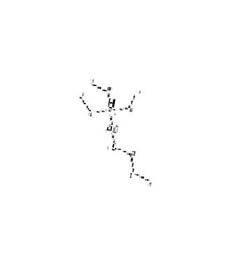 CCC[S][Au][PH](CC)(CC)CC